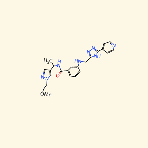 COCCn1cc(C(C)NC(=O)c2cccc(NCc3nnc(-c4ccncc4)[nH]3)c2)cn1